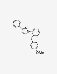 COc1ccc(Cc2ccccc2-n2ccc(-c3ccccc3)n2)cc1